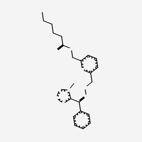 CCCCCC(=O)NCc1cccc(CO/N=C(/c2ccccc2)c2nnnn2C)n1